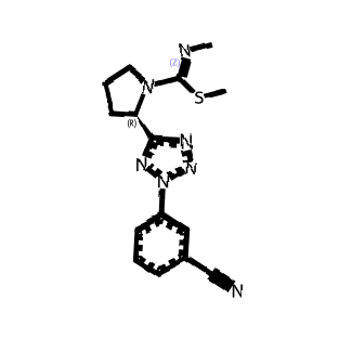 C/N=C(\SC)N1CCC[C@@H]1c1nnn(-c2cccc(C#N)c2)n1